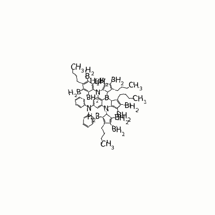 BC1=C(CCCC)C2B3c4c(cc(N(c5ccccc5)c5ccccc5)cc4N(C4C(B)=C(B)C(CCCC)=C4B)C4=C(B)C(B)=C(CCCC)C34)N(c3c(B)c(B)c(CCCC)c(B)c3B)C2=C1B